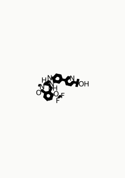 CN1C(=O)c2cccc(OC(F)F)c2[C@H]2C[C@@H]1c1nc3ccc(-c4ccc(C(C)(C)O)nc4)cc3n12